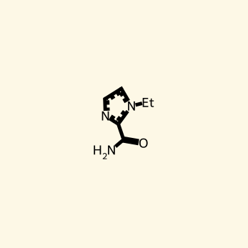 CCn1ccnc1C(N)=O